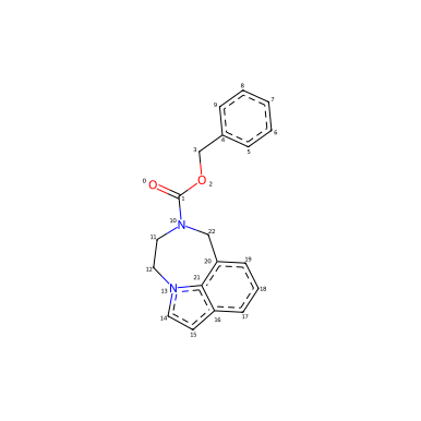 O=C(OCc1ccccc1)N1CCn2ccc3cccc(c32)C1